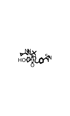 Cc1ncsc1-c1ccc(CNC(=O)[C@@H]2C[C@@H](O)CN2C(=O)C(n2cc(C3CC3)nn2)C(C)(C)C)cc1